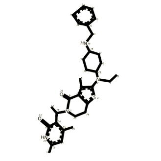 CCN(c1sc2c(c1C)C(=O)N(C(C)c1c(C)cc(C)[nH]c1=O)CC2)C1CCC(NCc2ccccc2)CC1